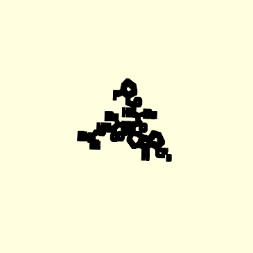 CCC(C)[C@H](NC(=O)Cc1ccccc1F)C(=O)N[C@]1(C(=O)N[C@H](C(=O)NCCN(CC)CC)C(C)CC)CCc2[nH]c3c(C(F)(F)F)cccc3c2C1